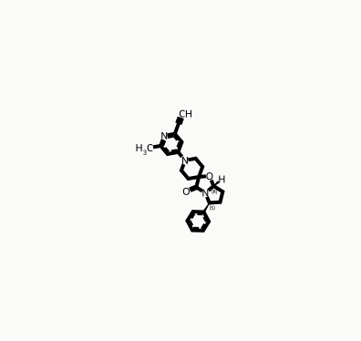 C#Cc1cc(N2CCC3(CC2)O[C@@H]2CC[C@@H](c4ccccc4)N2C3=O)cc(C)n1